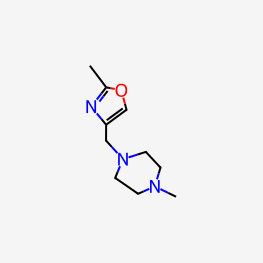 Cc1nc(CN2CCN(C)CC2)co1